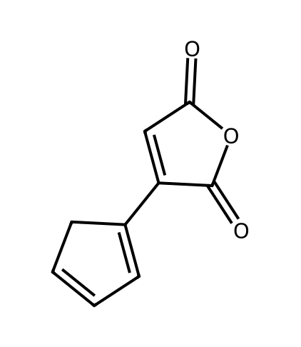 O=C1C=C(C2=CC=CC2)C(=O)O1